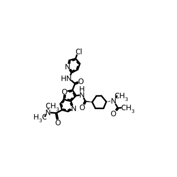 CC(=O)N(C)[C@H]1CC[C@H](C(=O)Nc2c(C(=O)Nc3ccc(Cl)cn3)oc3cc(C(=O)N(C)C)cnc23)CC1